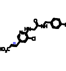 O=C(O)/C=C/c1cnc(NCC(=O)NCc2ccc(F)cc2)c(Cl)c1